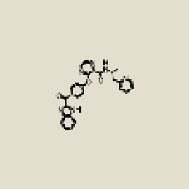 CC(Cc1ccccn1)NC(=O)c1nccnc1Oc1ccc(C(=O)c2nc3ccccc3[nH]2)cc1